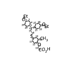 CCOc1ccc(C(=CCSc2ccc(OCC(=O)O)c(C)c2)c2ccc(OCC)cc2)cc1